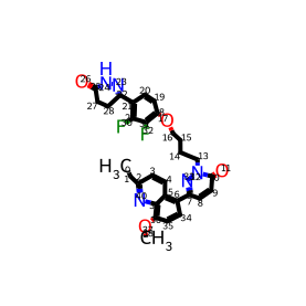 CCc1ccc2c(-c3ccc(=O)n(CCCCOc4ccc(C5=NNC(=O)CC5)c(F)c4F)n3)ccc(OC)c2n1